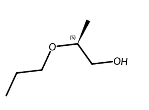 CCCO[C@@H](C)CO